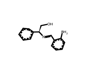 Bc1ccccc1/C=N/[C@H](CO)c1ccccc1